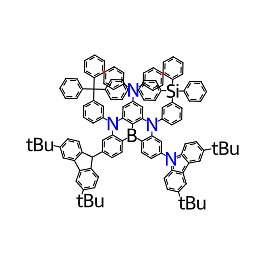 CC(C)(C)c1ccc2c(c1)-c1cc(C(C)(C)C)ccc1C2c1ccc2c(c1)N(c1cccc(C(c3ccccc3)(c3ccccc3)c3ccccc3)c1)c1cc(N(c3ccccc3)c3ccccc3)cc3c1B2c1ccc(-n2c4ccc(C(C)(C)C)cc4c4cc(C(C)(C)C)ccc42)cc1N3c1cccc([Si](c2ccccc2)(c2ccccc2)c2ccccc2)c1